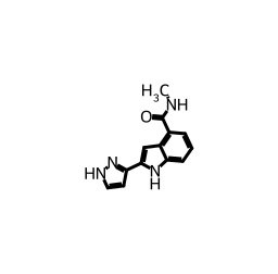 CNC(=O)c1cccc2[nH]c(-c3cc[nH]n3)cc12